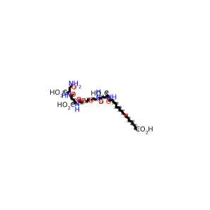 NC(=O)CC[C@H](NC(=O)CC[C@H](NC(=O)COCCOCCNC(=O)CC[C@H](NC(=O)CCCCCCCCCCCCCCCCC(=O)O)C(=O)O)C(=O)O)C(=O)O